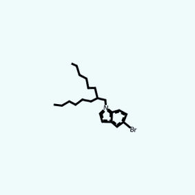 CCCCCCC(CCCCCC)Cn1ccc2cc(Br)ccc21